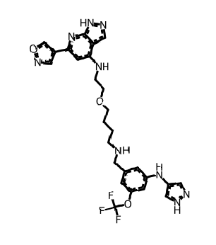 FC(F)(F)Oc1cc(CNCCCCOCCNc2cc(-c3cnoc3)nc3[nH]ncc23)cc(Nc2cn[nH]c2)c1